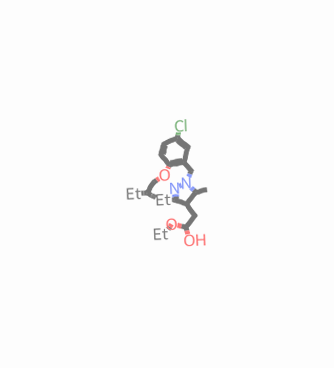 CCOC(O)CC1C=NN(Cc2cc(Cl)ccc2OCC(CC)CC)C1C